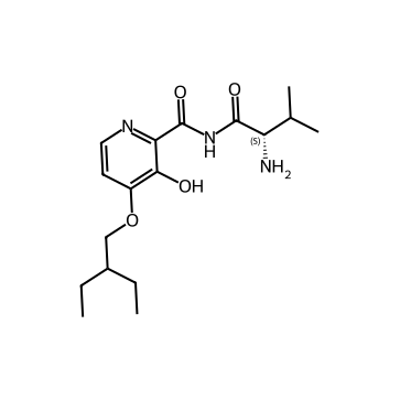 CCC(CC)COc1ccnc(C(=O)NC(=O)[C@@H](N)C(C)C)c1O